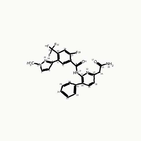 Cn1ccc(-c2cc(C(=O)Nc3nc(CC(N)=O)ccc3-c3ccccc3)c(F)cc2C(F)(F)F)n1